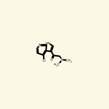 CN(C)CC(=O)c1c[nH]c2nccc(Cl)c12